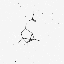 CCC(=O)OC1CC2(C)CC1C(C(F)(F)F)=C2C(F)(F)F